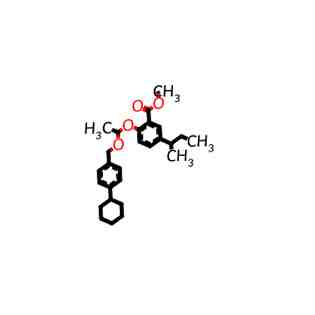 CCC(C)c1ccc(OC(C)OCc2ccc(C3CCCCC3)cc2)c(C(=O)OC)c1